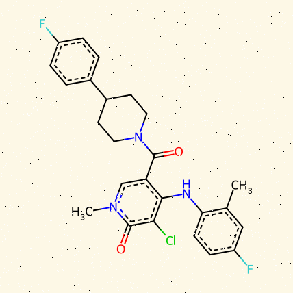 Cc1cc(F)ccc1Nc1c(C(=O)N2CCC(c3ccc(F)cc3)CC2)cn(C)c(=O)c1Cl